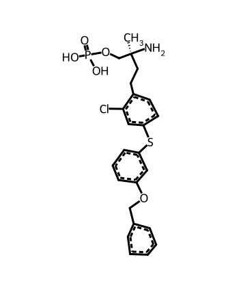 C[C@](N)(CCc1ccc(Sc2cccc(OCc3ccccc3)c2)cc1Cl)COP(=O)(O)O